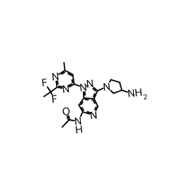 CC(=O)Nc1cc2c(cn1)c(N1CCC(N)C1)nn2-c1cc(C)nc(C(C)(F)F)n1